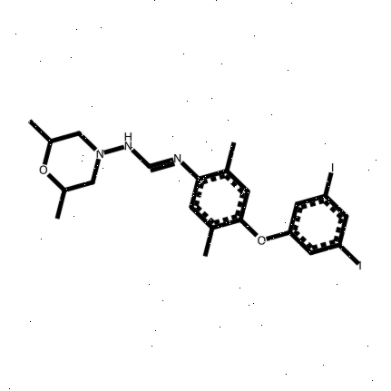 Cc1cc(Oc2cc(I)cc(I)c2)c(C)cc1N=CNN1CC(C)OC(C)C1